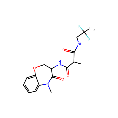 CC(C(=O)NCC(F)(F)C(F)(F)F)C(=O)NC1COc2ccccc2N(C)C1=O